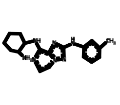 Cc1cccc(Nc2nc3c(NC4CCCCC4N)nccn3n2)c1